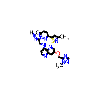 C=C1C=CC(c2cc(C)ns2)=NN1/C(CNc1ccnc2cc(OCc3ncnn3C)cnc12)=N\N